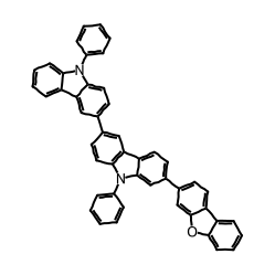 c1ccc(-n2c3ccccc3c3cc(-c4ccc5c(c4)c4ccc(-c6ccc7c(c6)oc6ccccc67)cc4n5-c4ccccc4)ccc32)cc1